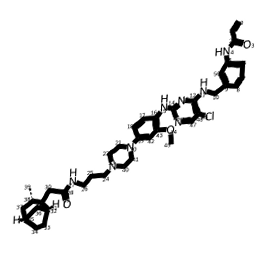 C=CC(=O)Nc1cccc(CNc2nc(Nc3ccc(N4CCN(CCCNC(=O)CC5[C@@H]6CC[C@@H](C6)C[C@@H]5C)CC4)cc3OC)ncc2Cl)c1